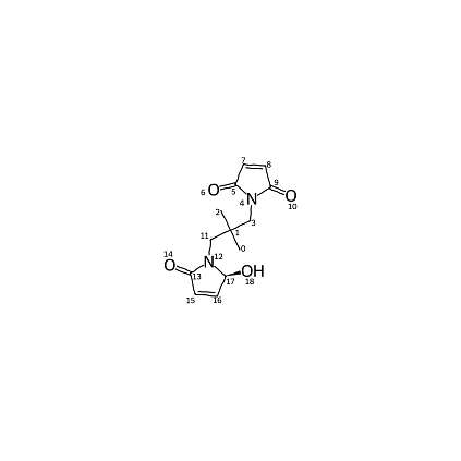 CC(C)(CN1C(=O)C=CC1=O)CN1C(=O)C=C[C@@H]1O